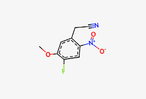 COc1cc(CC#N)c([N+](=O)[O-])cc1F